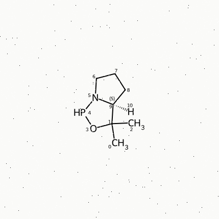 CC1(C)OPN2CCC[C@H]21